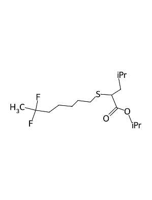 CC(C)CC(SCCCCCC(C)(F)F)C(=O)OC(C)C